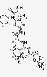 CC(C)C(=O)N(C1CCCCC1)[C@H]1CCN(NC(=O)[C@@H](Cc2ccc(Cl)cc2)NCCN(C)C(=O)OC(C)(C)C)C1